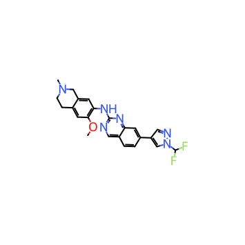 COc1cc2c(cc1Nc1ncc3ccc(-c4cnn(C(F)F)c4)cc3n1)CN(C)CC2